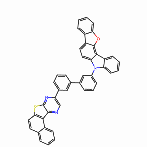 c1cc(-c2cccc(-n3c4ccccc4c4c5oc6ccccc6c5ccc43)c2)cc(-c2cnc3c(n2)sc2ccc4ccccc4c23)c1